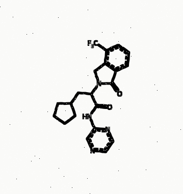 O=C(Nc1cnccn1)C(CC1CCCC1)N1Cc2c(cccc2C(F)(F)F)C1=O